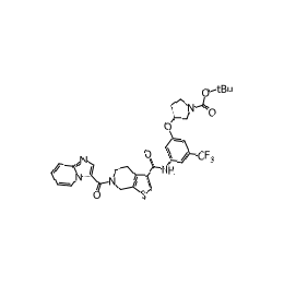 CC(C)(C)OC(=O)N1CCC(Oc2cc(NC(=O)c3csc4c3CCN(C(=O)c3cnc5ccccn35)C4)cc(C(F)(F)F)c2)C1